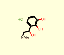 CNC[C@H](O)c1cccc(O)c1O.Cl